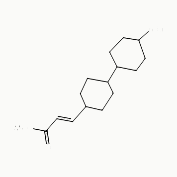 CCCCC1CCC(C2CCC(C=CC(=O)OC)CC2)CC1